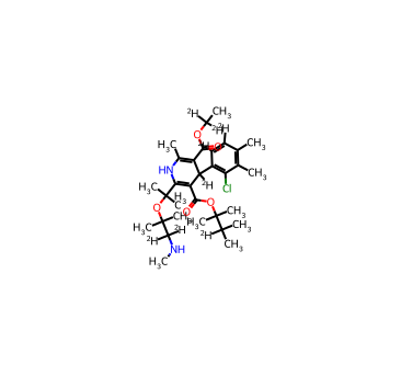 [2H]c1c([2H])c(C2([2H])C(C(=O)OC([2H])([2H])C)=C(C)NC(C(C)(C)OC(C)(C)C([2H])([2H])NC)=C2C(=O)OC(C)(C)C([2H])(C)C)c(Cl)c(C)c1C